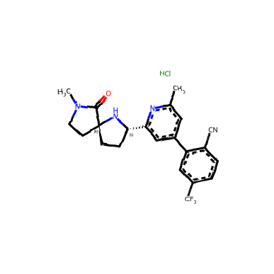 Cc1cc(-c2cc(C(F)(F)F)ccc2C#N)cc([C@@H]2CC[C@]3(CCN(C)C3=O)N2)n1.Cl